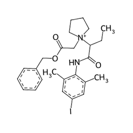 CCC(C(=O)Nc1c(C)cc(I)cc1C)[N+]1(CC(=O)OCc2ccccc2)CCCC1